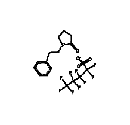 O=C1CCC[S+]1CCc1ccccc1.O=S(=O)([O-])C(F)(F)C(F)(F)C(F)(F)C(F)(F)F